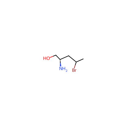 CC(Br)C[C@@H](N)CO